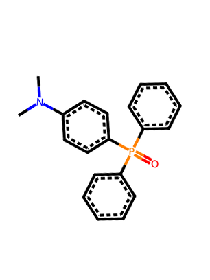 CN(C)c1ccc(P(=O)(c2ccccc2)c2ccccc2)cc1